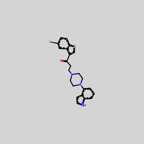 O=C(CCN1CCN(c2cccc3[nH]ccc23)CC1)c1csc2ccc(F)cc12